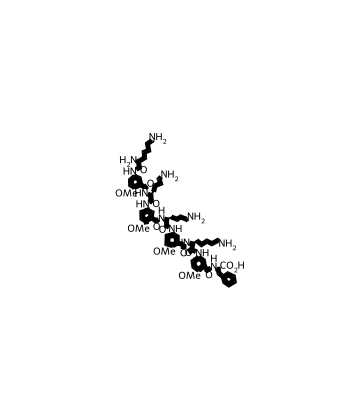 COc1ccc(NC(=O)[C@H](CCCCN)NC(=O)c2cc(NC(=O)[C@@H](N)CCCCCN)ccc2OC)cc1C(=O)N[C@@H](CCCCN)C(=O)Nc1ccc(OC)c(C(=O)N[C@@H](CCCCCN)C(=O)Nc2ccc(OC)c(C(=O)N[C@H](Cc3ccccc3)C(=O)O)c2)c1